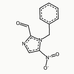 O=Cc1ncc([N+](=O)[O-])n1Cc1ccccc1